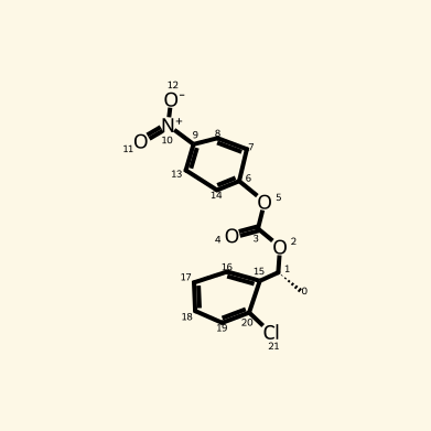 C[C@@H](OC(=O)Oc1ccc([N+](=O)[O-])cc1)c1ccccc1Cl